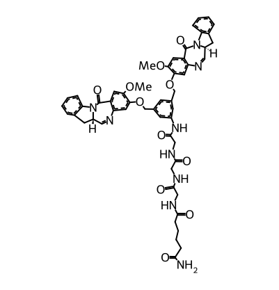 COc1cc2c(cc1OCc1cc(COc3cc4c(cc3OC)C(=O)N3c5ccccc5C[C@H]3C=N4)cc(NC(=O)CNC(=O)CNC(=O)CNC(=O)CCCCC(N)=O)c1)N=C[C@@H]1Cc3ccccc3N1C2=O